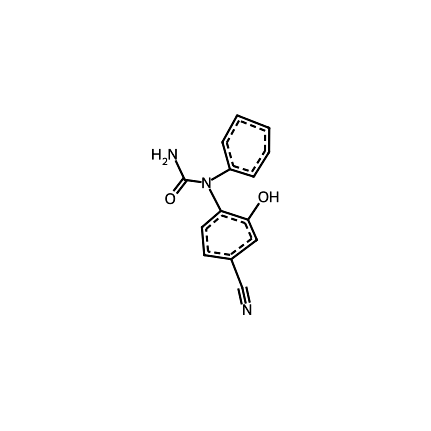 N#Cc1ccc(N(C(N)=O)c2ccccc2)c(O)c1